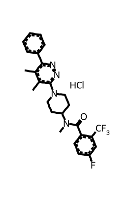 Cc1c(-c2ccccc2)nnc(N2CCC(N(C)C(=O)c3ccc(F)cc3C(F)(F)F)CC2)c1C.Cl